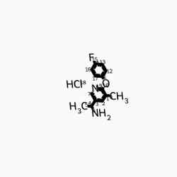 Cc1cc(C(C)N)cnc1Oc1ccc(F)cc1.Cl